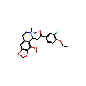 CCOc1ccc(C(=O)CC2c3c(cc4c(c3OC)OCO4)CC[N+]2(C)C)cc1F